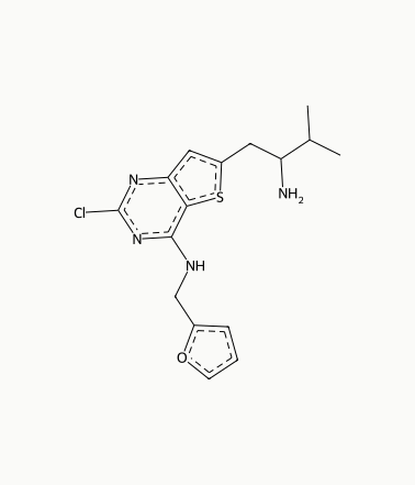 CC(C)C(N)Cc1cc2nc(Cl)nc(NCc3ccco3)c2s1